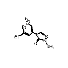 Bn1ncn(/C(C=C(CC)CC)=C/C)c1=O